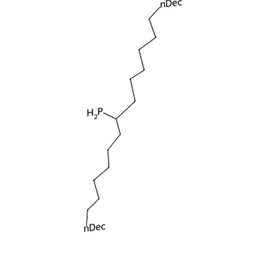 CCCCCCCCCCCCCCCCC(P)CCCCCCCCCCCCCCCC